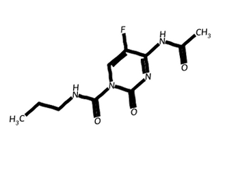 CCCNC(=O)n1cc(F)c(NC(C)=O)nc1=O